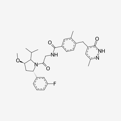 CO[C@@H]1C[C@@H](c2cccc(F)c2)N(C(=O)CNC(=O)c2ccc(Cc3cc(C)n[nH]c3=O)c(C)c2)C1C(C)C